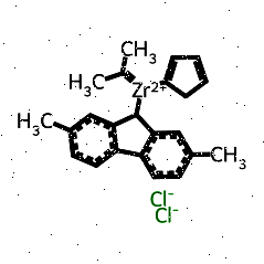 C[C](C)=[Zr+2]([C]1=CC=CC1)[CH]1c2cc(C)ccc2-c2ccc(C)cc21.[Cl-].[Cl-]